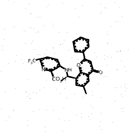 Cc1cc([C@@H](C)Nc2ccc(C(F)(F)F)nc2C(=O)O)c2oc(-c3ccccc3)cc(=O)c2c1